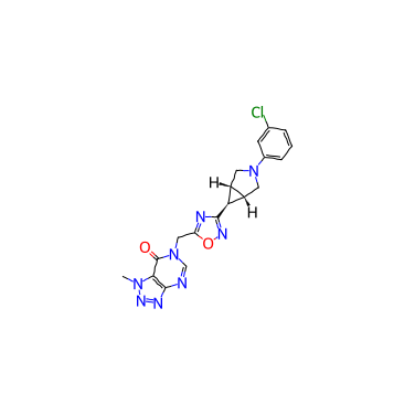 Cn1nnc2ncn(Cc3nc([C@H]4[C@@H]5CN(c6cccc(Cl)c6)C[C@@H]54)no3)c(=O)c21